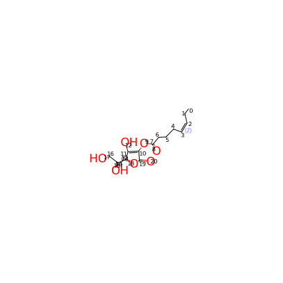 CC/C=C\CCCC(=O)OC1=C(O)[C@H]([C@H](O)CO)OC1=O